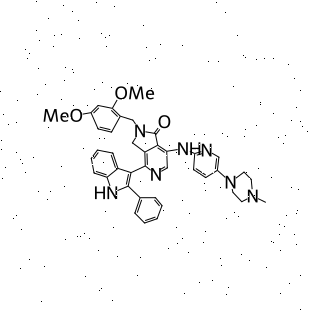 COc1ccc(CN2Cc3c(-c4c(-c5ccccc5)[nH]c5ccccc45)ncc(Nc4ccc(N5CCN(C)CC5)cn4)c3C2=O)c(OC)c1